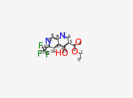 CCOC(=O)c1cnc2cnc(C(F)(F)F)cc2c1O